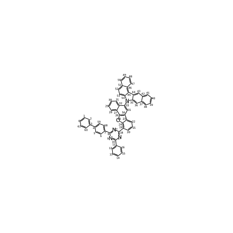 c1ccc(-c2ccc(-c3nc(-c4ccccc4)nc(-c4cccc5c4oc4c6ccccc6c(-n6c7cc8ccccc8cc7c7c8ccccc8ccc76)cc54)n3)cc2)cc1